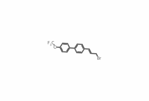 FC(F)(F)Oc1ccc(-c2ccc(C=CCBr)cc2)cc1